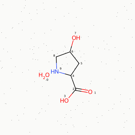 O.O=C(O)C1CC(O)CN1